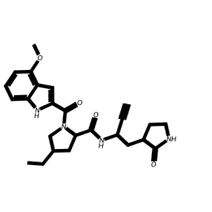 C#CC(CC1CCNC1=O)NC(=O)C1CC(CC)CN1C(=O)c1cc2c(OC)cccc2[nH]1